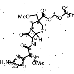 CCC(=O)OCOC(=O)C1(COC)CS[C@@H]2C(NC(=O)C(=NOC)c3csc(N)n3)C(=O)N2C1